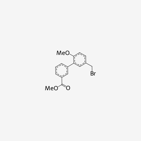 COC(=O)c1cccc(-c2cc(CBr)ccc2OC)c1